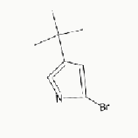 CC(C)(C)C1=C=NC(Br)=C1